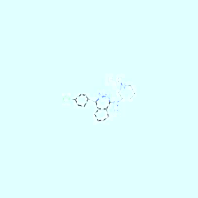 CN1CCCC(Nc2nnc(-c3ccc(Cl)cc3)c3ccccc23)C1